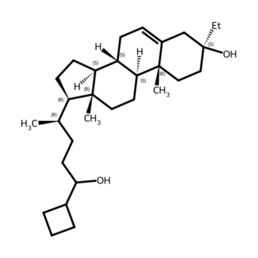 CC[C@]1(O)CC[C@@]2(C)C(=CC[C@H]3[C@@H]4CC[C@H]([C@H](C)CCC(O)C5CCC5)[C@@]4(C)CC[C@@H]32)C1